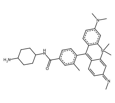 C/N=C1\C=CC2=C(c3ccc(C(=O)NC4CCC(N)CC4)cc3C)c3ccc(N(C)C)cc3[Si](C)(C)C2=C1